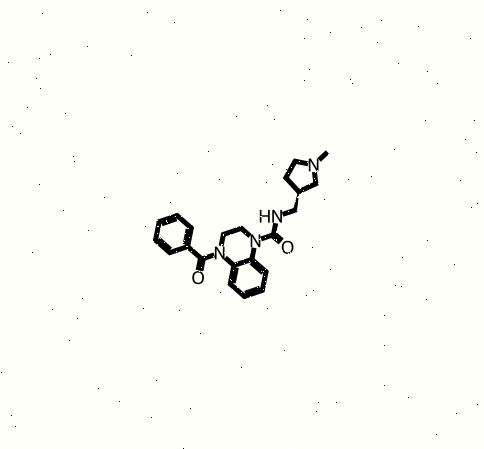 CN1CC[C@H](CNC(=O)N2CCN(C(=O)c3ccccc3)c3ccccc32)C1